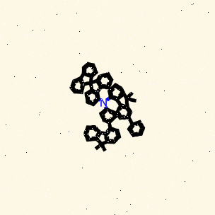 CC1(C)c2ccccc2-c2c(-c3ccc(N(c4cccc5c4-c4ccc(-c6ccccc6)cc4C5(C)C)c4cccc5c4-c4ccccc4C54c5ccccc5-c5ccccc54)cc3)cccc21